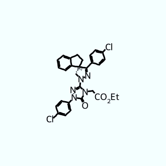 CCOC(=O)Cn1c(N2C[C@]3(CCc4ccccc43)C(c3ccc(Cl)cc3)=N2)nn(-c2ccc(Cl)cc2)c1=O